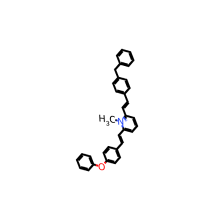 C[n+]1c(/C=C/c2ccc(Cc3ccccc3)cc2)cccc1/C=C/c1ccc(Oc2ccccc2)cc1